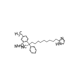 COc1cc(C)ccc1C(C#N)(CCCCCCCCCc1ncc[nH]1)c1ccccc1